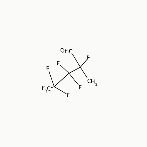 CC(F)(C=O)C(F)(F)C(F)(F)C(F)(F)F